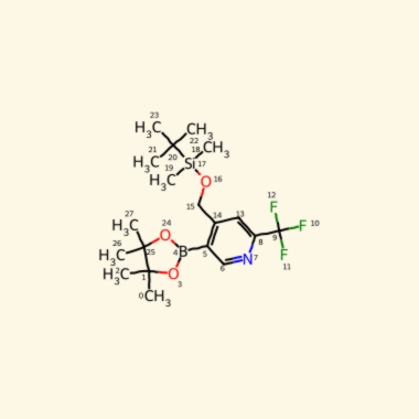 CC1(C)OB(c2cnc(C(F)(F)F)cc2CO[Si](C)(C)C(C)(C)C)OC1(C)C